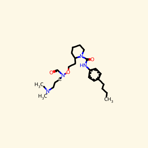 CCCCc1ccc(NC(=O)N2CCCCC2CCON(C=O)CCCN(C)C)cc1